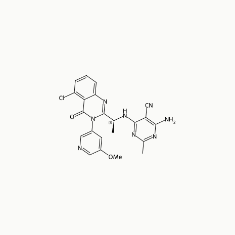 COc1cncc(-n2c([C@H](C)Nc3nc(C)nc(N)c3C#N)nc3cccc(Cl)c3c2=O)c1